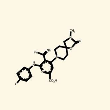 CC(C)C(=N)c1c(N2CCC3(CC2)CN(C)C(=O)O3)cc(C(=O)O)nc1Nc1ccc(F)cc1